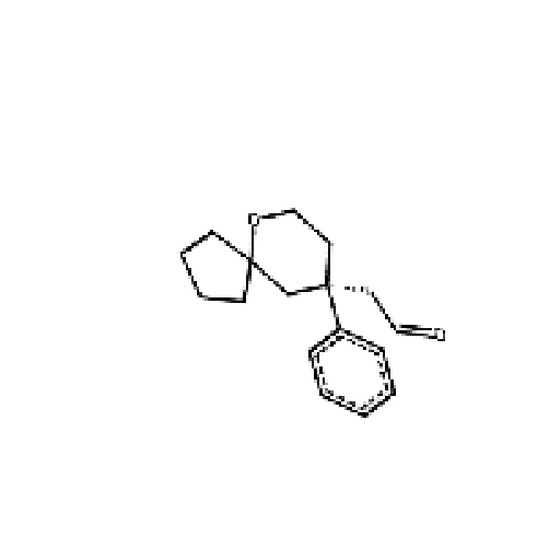 O=CC[C@@]1(c2ccccc2)CCOC2(CCCC2)C1